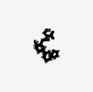 CC(C)[C@H](CO)NCc1nc(C2=CCCC3(C2)OCCO3)ccc1F